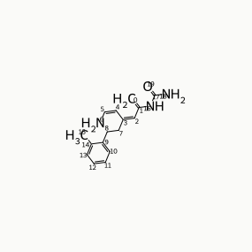 C=C(/C=C(\C=C/N)CCc1ccccc1C)NC(N)=O